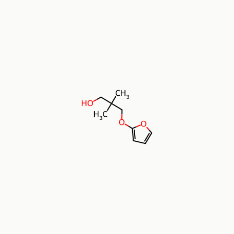 CC(C)(CO)COc1ccco1